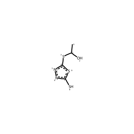 CC(O)Sc1nnc(S)s1